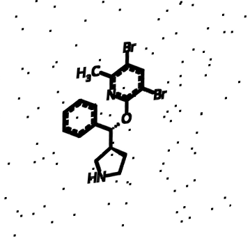 Cc1nc(O[C@@H](c2ccccc2)[C@H]2CCNC2)c(Br)cc1Br